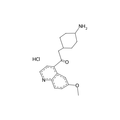 COc1ccc2nccc(C(=O)CC3CCC(N)CC3)c2c1.Cl